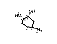 CC1CC[C@H](O)[C@H](O)C1